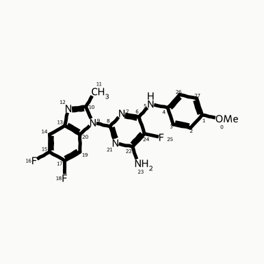 COc1ccc(Nc2nc(-n3c(C)nc4cc(F)c(F)cc43)nc(N)c2F)cc1